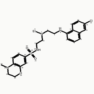 CCN(CCNc1cccc2cc(Cl)ccc12)CCNS(=O)(=O)c1ccc2c(c1)OCCN2C